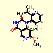 COc1ncc2c(=O)[nH]c(=O)n(-c3c(C)ccnc3C(C)C)c2c1F